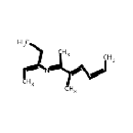 C\C=C/C=C(C)/C(C)=N/C(=C\C)CC